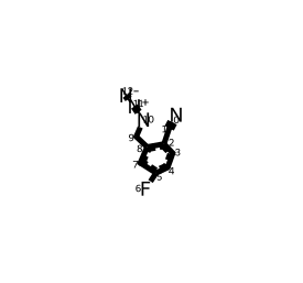 N#Cc1ccc(F)cc1CN=[N+]=[N-]